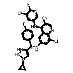 N#Cc1cnc2c(Cl)cc(N[C@H](C3=CN(C4CC4)NN3)c3ccc(F)cc3)cc2c1Nc1cnc(F)c(Cl)c1